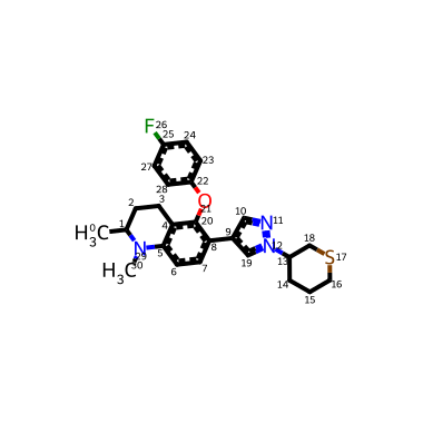 CC1CCc2c(ccc(-c3cnn(C4CCCSC4)c3)c2Oc2ccc(F)cc2)N1C